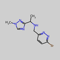 CC(NCc1ccc(Br)nn1)c1ncn(C)n1